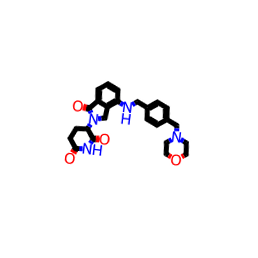 O=C1CCC(N2Cc3c(NCc4ccc(CN5CCOCC5)cc4)cccc3C2=O)C(=O)N1